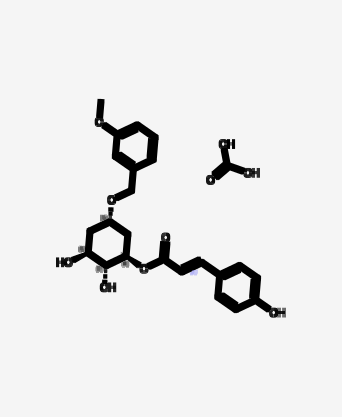 COc1cccc(CO[C@H]2C[C@H](O)[C@@H](O)[C@H](OC(=O)/C=C/c3ccc(O)cc3)C2)c1.O=C(O)O